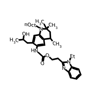 CCCCCCCCN1c2cc(CC(C)O)c(NC(=O)OCCc3nc4ccccc4n3CC)cc2C(C)CC1(C)C